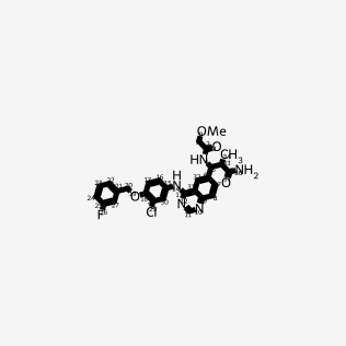 COCC(=O)NC(c1ccc2ncnc(Nc3ccc(OCc4cccc(F)c4)c(Cl)c3)c2c1)C(C)C(N)=O